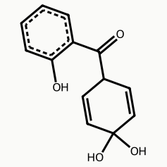 O=C(c1ccccc1O)C1C=CC(O)(O)C=C1